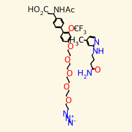 CC(=O)N[C@@H](CC(=O)O)c1ccc(-c2ccc(OCCOCCOCCOCCOCCN=[N+]=[N-])cc2OC(F)(F)F)cc1.Cc1ccnc(NCCCC(N)=O)c1